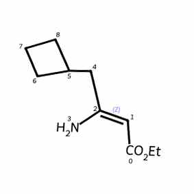 CCOC(=O)/C=C(\N)CC1CCC1